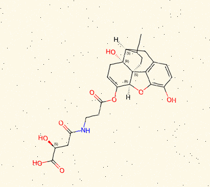 CC1CC[C@]23c4c5ccc(O)c4O[C@H]2C(OC(=O)CCNC(=O)C[C@H](O)C(=O)O)=CC[C@@]3(O)[C@H]1C5